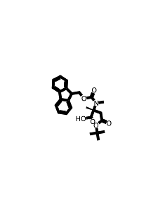 CN(C(=O)OCC1c2ccccc2-c2ccccc21)[C@](C)(CC(=O)OC(C)(C)C)C(=O)O